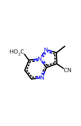 Cc1nn2c(C(=O)O)ccnc2c1C#N